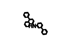 c1ccc(-c2cccc(Nc3ccc(-c4ccccc4)c4ccccc34)c2)cc1